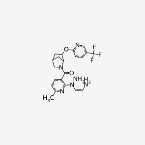 Cc1ccc(C(=O)N2CC3CC(Oc4ccc(C(F)(F)F)cn4)C2C3)c(N(N)/C=C\N)n1